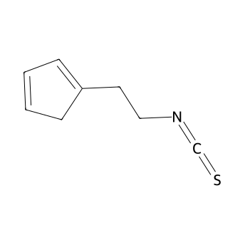 S=C=NCCC1=CC=CC1